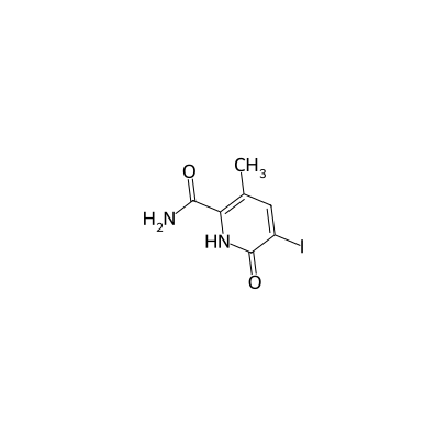 Cc1cc(I)c(=O)[nH]c1C(N)=O